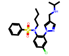 CCCCN(c1ccc(Cl)cc1-n1cc(CNC(C)C)cn1)S(=O)(=O)c1ccccc1